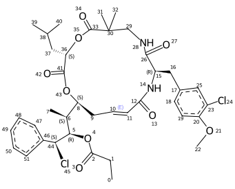 CCC(=O)O[C@H]([C@@H](C)[C@@H]1C/C=C/C(=O)N[C@H](Cc2ccc(OC)c(Cl)c2)C(=O)NCC(C)(C)C(=O)O[C@@H](CC(C)C)C(=O)O1)[C@@H](Cl)c1ccccc1